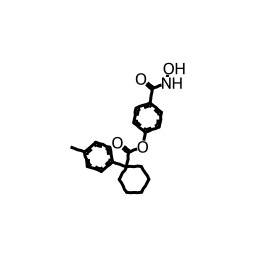 Cc1ccc(C2(C(=O)Oc3ccc(C(=O)NO)cc3)CCCCC2)cc1